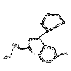 CCCCCCCCCCNC(=O)C=C(c1ccccc1)c1cccc(N)c1